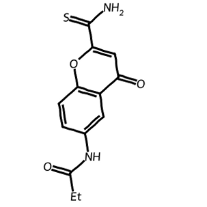 CCC(=O)Nc1ccc2oc(C(N)=S)cc(=O)c2c1